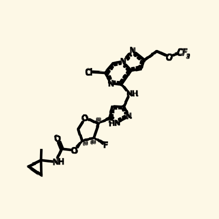 CC1(NC(=O)O[C@H]2CO[C@@H](c3cc(Nc4nc(Cl)cn5nc(COC(F)(F)F)cc45)n[nH]3)[C@H]2F)CC1